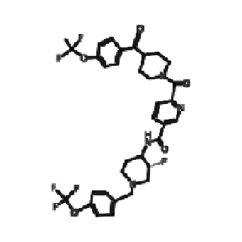 CC(F)(F)Oc1ccc(C(=O)C2CCN(C(=O)c3ccc(C(=O)N[C@@H]4CCN(Cc5ccc(OC(F)(F)F)cc5)C[C@H]4F)cn3)CC2)cc1